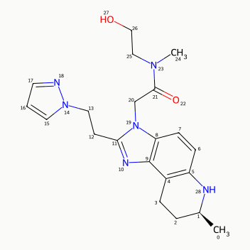 C[C@H]1CCc2c(ccc3c2nc(CCn2cccn2)n3CC(=O)N(C)CCO)N1